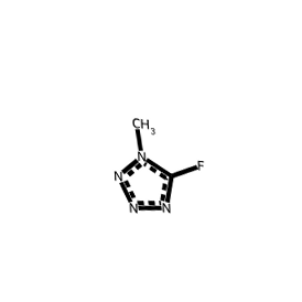 Cn1nnnc1F